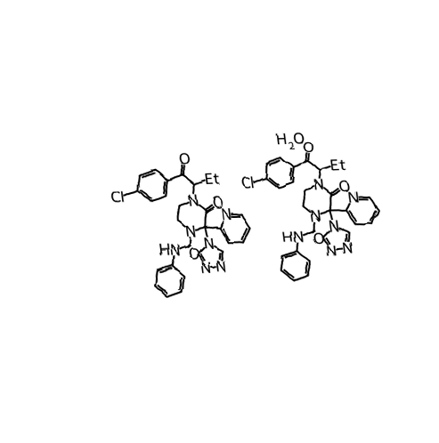 CCC(C(=O)c1ccc(Cl)cc1)N1CCN(C(=O)Nc2ccccc2)C(c2ccccn2)(n2cnnc2)C1=O.CCC(C(=O)c1ccc(Cl)cc1)N1CCN(C(=O)Nc2ccccc2)C(c2ccccn2)(n2cnnc2)C1=O.O